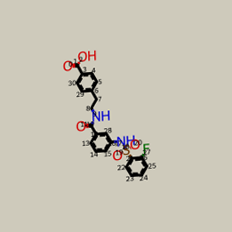 O=C(O)c1ccc(CCNC(=O)c2cccc(NS(=O)(=O)c3ccccc3F)c2)cc1